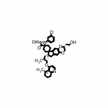 COC(=O)C1(Nc2cccc(Cl)c2)CCC2(CC1)c1cc3c(cc1C[C@@H]2C[C@@H](C)COc1ccnc2c1[C@H](C)CCC2)OC[C@@H](CCO)O3